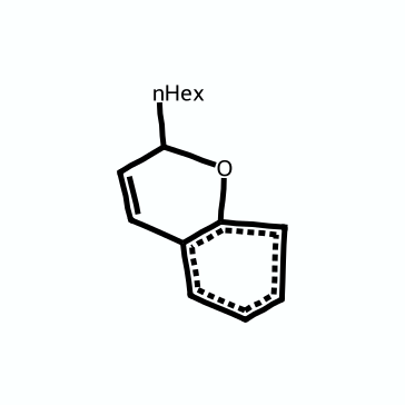 [CH2]CCCCCC1C=Cc2ccccc2O1